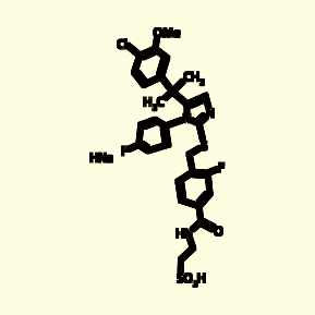 COc1cc(C(C)(C)c2cnc(SCc3ccc(C(=O)NCCS(=O)(=O)O)cc3F)n2-c2ccc(F)cc2)ccc1Cl.[NaH]